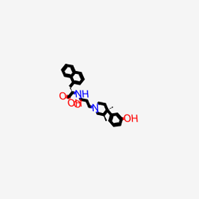 C[C@H]1CN(CCC(=O)N[C@@H](Cc2cccc3ccccc23)C(=O)O)CC[C@@]1(C)c1cccc(O)c1